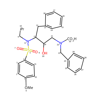 COc1ccc(S(=O)(=O)N(CC(C)C)C(Cc2ccccc2)C(O)CN(Cc2ccccc2)C(=O)O)cc1